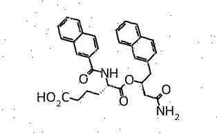 NC(=O)C[C@H](Cc1ccc2ccccc2c1)OC(=O)[C@H](CCCC(=O)O)NC(=O)c1ccc2ccccc2c1